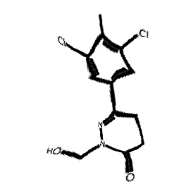 Cc1c(Cl)cc(C2=NN(CO)C(=O)CC2)cc1Cl